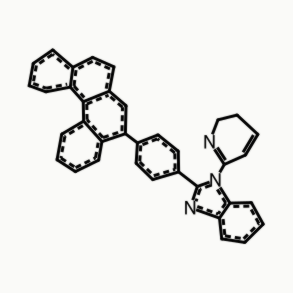 C1=CC(n2c(-c3ccc(-c4cc5ccc6ccccc6c5c5ccccc45)cc3)nc3ccccc32)=NCC1